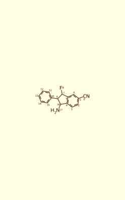 N#Cc1ccc2c(c1)C(F)C(c1ccccc1)C2N